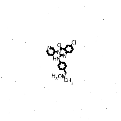 CN(C)Cc1ccc(Nc2nc3ccc(Cl)cc3c(=O)n2-c2cccnc2)cc1